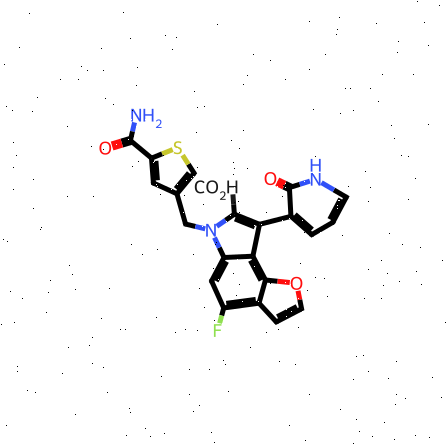 NC(=O)c1cc(Cn2c(C(=O)O)c(-c3ccc[nH]c3=O)c3c4occc4c(F)cc32)cs1